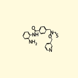 Nc1ccccc1NC(=O)c1ccc(CN(C=S)OCc2cccnc2)cc1